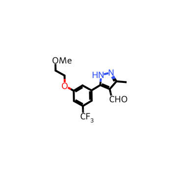 COCCOc1cc(-c2[nH]nc(C)c2C=O)cc(C(F)(F)F)c1